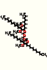 CCCCCCCCCCC(OC)=C(OC)C(CCCCCCCC)OCOCOC(CCCCCCCC)C(OC)=C(CCCCCCCCCC)OC